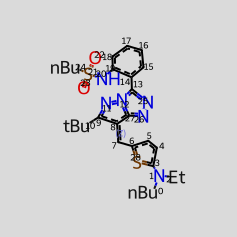 CCCCN(CC)c1ccc(/C=c2/c(C(C)(C)C)nn3c(-c4ccccc4NS(=O)(=O)CCCC)nnc23)s1